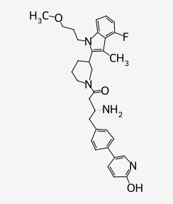 COCCCn1c(C2CCCN(C(=O)C[C@H](N)Cc3ccc(-c4ccc(O)nc4)cc3)C2)c(C)c2c(F)cccc21